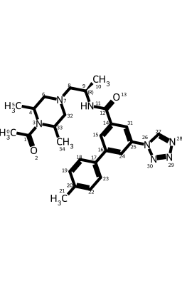 CC(=O)N1C(C)CN(C[C@@H](C)NC(=O)c2cc(-c3ccc(C)cc3)cc(-n3cnnn3)c2)CC1C